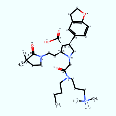 CCCCN(CCC[N+](C)(C)C)C(=O)CN1C[C@H](c2ccc3c(c2)CCO3)[C@@H](C(=O)O)[C@@H]1CCN1CCC(C)(C)C1=O